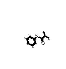 CC(C)C(=O)Sc1ccccc1